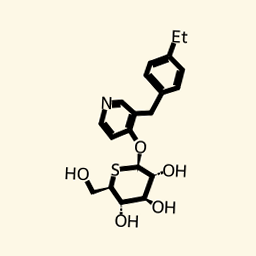 CCc1ccc(Cc2cnccc2O[C@@H]2S[C@H](CO)[C@@H](O)[C@H](O)[C@H]2O)cc1